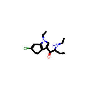 CCNC(CC)C(=O)c1cn(CC)c2cc(Cl)ccc12